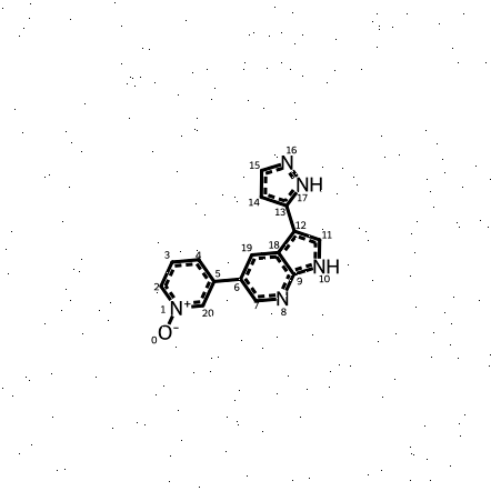 [O-][n+]1cccc(-c2cnc3[nH]cc(-c4ccn[nH]4)c3c2)c1